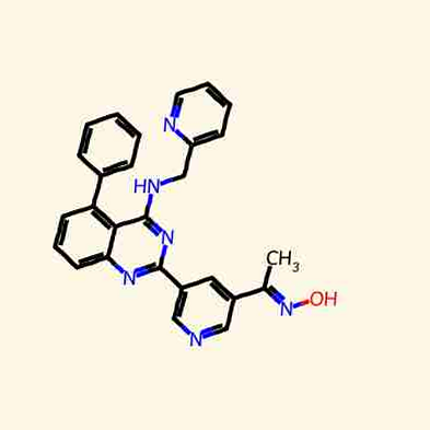 C/C(=N\O)c1cncc(-c2nc(NCc3ccccn3)c3c(-c4ccccc4)cccc3n2)c1